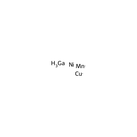 [Cu].[GaH3].[Mn].[Ni]